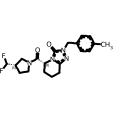 Cc1ccc(Cn2nc3n(c2=O)[C@@H](C(=O)N2CC[C@H](C(F)F)C2)CCC3)cc1